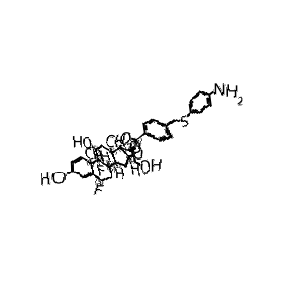 C[C@]12C=CC(O)C=C1[C@@H](F)C[C@H]1[C@@H]3C[C@H]4O[C@H](c5ccc(CSc6ccc(N)cc6)cc5)O[C@@]4(C(=O)CO)[C@@]3(C)C[C@H](O)[C@@]12F